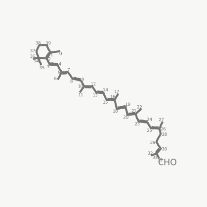 CC1=C(/C=C/C(C)=C/C=C/C(C)=C/C=C/C=C(C)/C=C/C=C(C)/C=C/C=C(\C)CC/C=C(\C)C=O)C(C)(C)CCC1